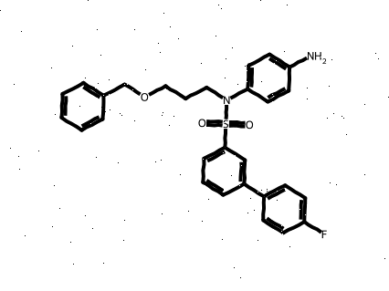 Nc1ccc(N(CCCOCc2ccccc2)S(=O)(=O)c2cccc(-c3ccc(F)cc3)c2)cc1